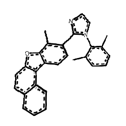 Cc1cccc(C)c1-n1ccnc1-c1ccc2c(oc3ccc4ccccc4c32)c1C